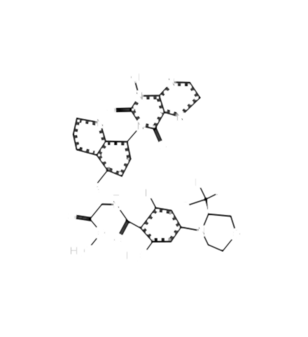 COC(=O)[C@H](Cc1ccc(-n2c(=O)c3nccnc3n(C)c2=O)c2ncccc12)NC(=O)c1c(C)cc(N2CCOC[C@@H]2C(F)(F)F)cc1F